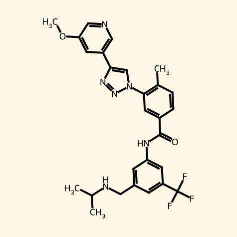 COc1cncc(-c2cn(-c3cc(C(=O)Nc4cc(CNC(C)C)cc(C(F)(F)F)c4)ccc3C)nn2)c1